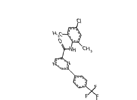 Cc1cc(Cl)cc(C)c1NC(=O)c1cncc(-c2ccc(C(F)(F)F)cc2)n1